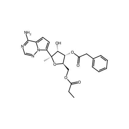 CCC(=O)OC[C@H]1O[C@@](C)(c2ccc3c(N)ncnn23)[C@H](O)[C@@H]1OC(=O)Cc1ccccc1